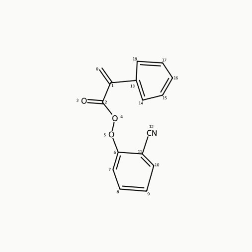 C=C(C(=O)OOc1ccccc1C#N)c1ccccc1